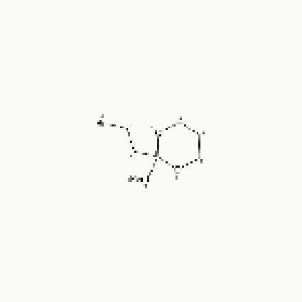 CCCCCC1(CCBr)OCCCO1